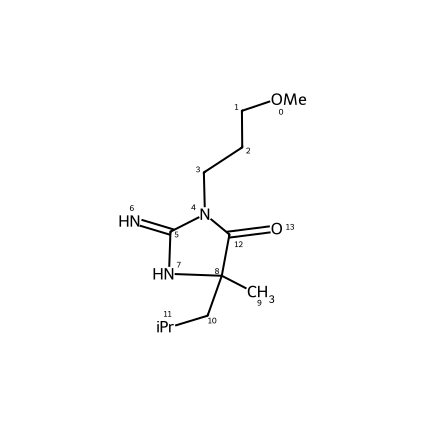 COCCCN1C(=N)NC(C)(CC(C)C)C1=O